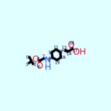 CC(C)(C)OC(=O)CN[C@H]1CC[C@H](C=CC(=O)O)CC1